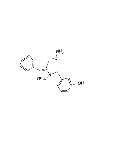 NOCc1c(-c2ccccc2)ncn1Cc1cccc(O)c1